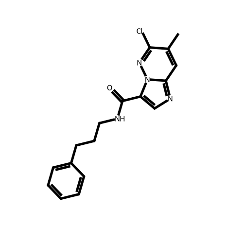 Cc1cc2ncc(C(=O)NCCCc3ccccc3)n2nc1Cl